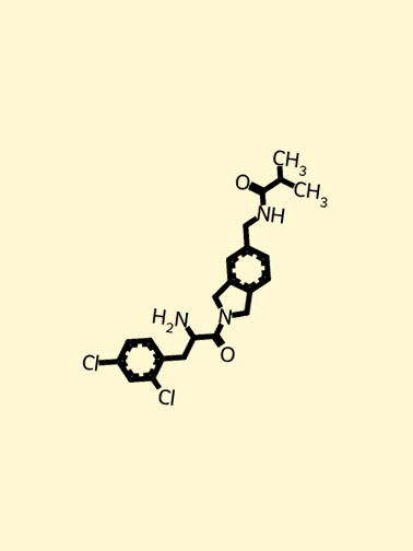 CC(C)C(=O)NCc1ccc2c(c1)CN(C(=O)C(N)Cc1ccc(Cl)cc1Cl)C2